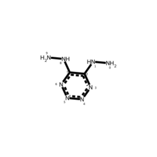 NNc1nnnnc1NN